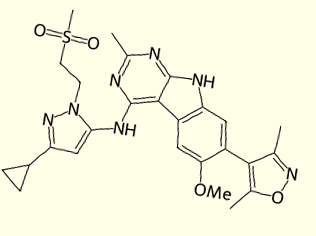 COc1cc2c(cc1-c1c(C)noc1C)[nH]c1nc(C)nc(Nc3cc(C4CC4)nn3CCS(C)(=O)=O)c12